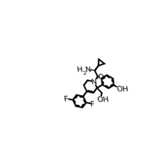 N[C@H](C(=O)N1CCC(c2cc(F)ccc2F)=CC1(CO)c1cccc(O)c1)C1CC1